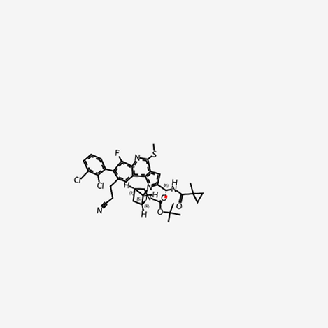 CSc1nc2c(F)c(-c3cccc(Cl)c3Cl)c(CCC#N)cc2c2c1cc([C@@H](C)NC(=O)C1(C)CC1)n2[C@H]1[C@@H]2C[C@H]1N(C(=O)OC(C)(C)C)C2